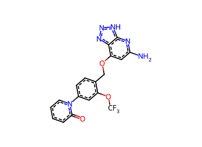 Nc1cc(OCc2ccc(-n3ccccc3=O)cc2OC(F)(F)F)c2nn[nH]c2n1